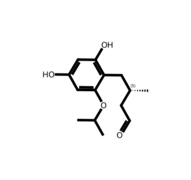 CC(C)Oc1cc(O)cc(O)c1C[C@H](C)CC=O